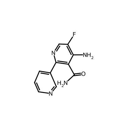 NC(=O)c1c(-c2cccnc2)ncc(F)c1N